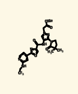 COC(=O)Cn1cc(NC(=O)c2coc(-c3ccnc(NCC(F)(F)F)c3)n2)c(N2CCC(C)(C)C2=O)n1